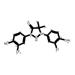 CCc1cc([SH]2NN(c3ccc(C#N)c(C(F)(F)F)c3)C(=O)C2(C)C)ccc1OC(C)=O